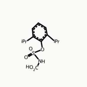 CC(C)c1cccc(C(C)C)c1OS(=O)(=O)NC(=O)O